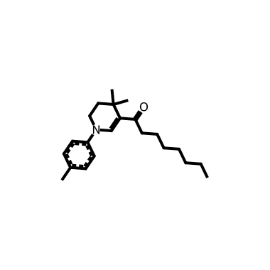 CCCCCCCC(=O)C1=CN(c2ccc(C)cc2)CCC1(C)C